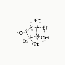 CCC1(CC)NC(=O)C(CC)(CC)N1O